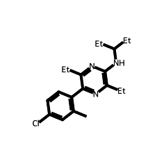 CCc1nc(-c2ccc(Cl)cc2C)c(CC)nc1NC(CC)CC